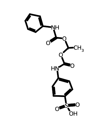 C[C](OC(=O)Nc1ccccc1)OC(=O)Nc1ccc(S(=O)(=O)O)cc1